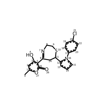 Cc1cc(O)c(C2=NCCSC(c3cccn3-c3ccc(Cl)cc3)C2)c(=O)o1